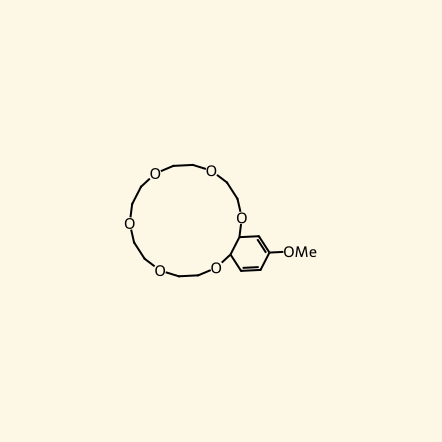 COC1=CC2OCCOCCOCCOCCOCCOC2C=C1